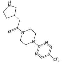 O=C(C[C@@H]1CCNC1)N1CCN(c2ncc(C(F)(F)F)cn2)CC1